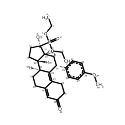 CCOP(=O)(OCC)[C@]1(O)CC[C@H]2[C@@H]3CCC4=CC(=O)CCC4=C3[C@@H](c3ccc(OC)cc3)C[C@@]21C